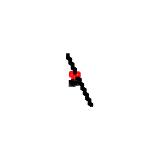 CCCCCCCCCCCC(=O)OC(=O)CCCCCCC.[Fe].[Ni]